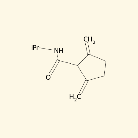 C=C1CCC(=C)C1C(=O)NC(C)C